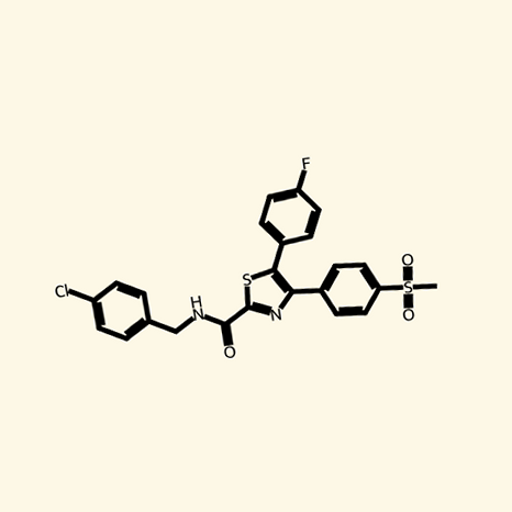 CS(=O)(=O)c1ccc(-c2nc(C(=O)NCc3ccc(Cl)cc3)sc2-c2ccc(F)cc2)cc1